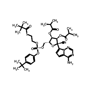 CC(C)C(=O)O[C@H]1[C@@H](OC(=O)C(C)C)[C@](C#N)(c2ccc3c(N)ncnn23)O[C@@H]1CO[P@](=O)(OCCSC(=O)C(C)(C)C)Oc1ccc(C(C)(C)C)cc1